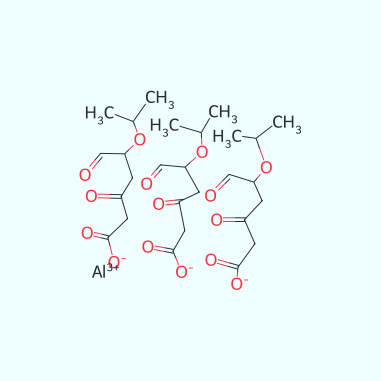 CC(C)OC(C=O)CC(=O)CC(=O)[O-].CC(C)OC(C=O)CC(=O)CC(=O)[O-].CC(C)OC(C=O)CC(=O)CC(=O)[O-].[Al+3]